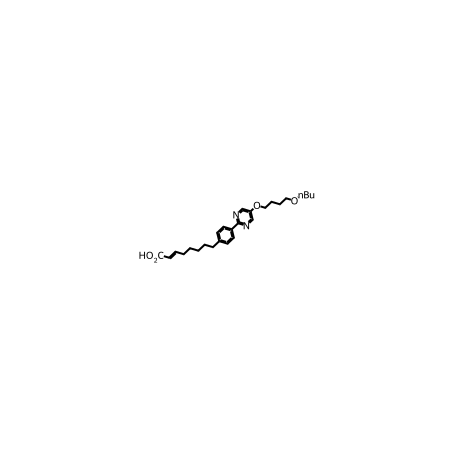 CCCCOCCCCOc1cnc(-c2ccc(CCCCC/C=C/C(=O)O)cc2)nc1